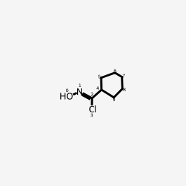 O/N=C(\Cl)C1CCCCC1